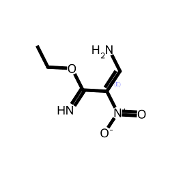 CCOC(=N)/C(=C\N)[N+](=O)[O-]